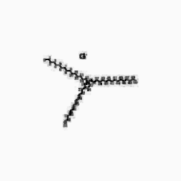 CCCCCCCCCCCCCCCC[N+](CC)(CCCCCCCCCCCCCCCC)CCCCCCCCCCCCCCCC.[Cl-]